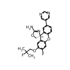 CC(C)(F)COc1cc2c(cc1F)Oc1ccc(-c3cncnc3)cc1[C@@]21COC(N)=N1